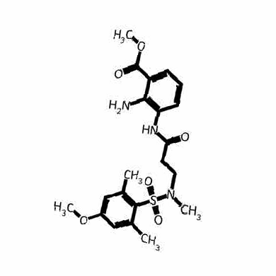 COC(=O)c1cccc(NC(=O)CCN(C)S(=O)(=O)c2c(C)cc(OC)cc2C)c1N